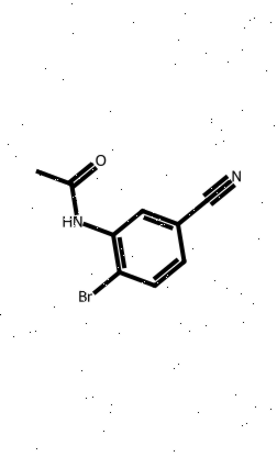 CC(=O)Nc1cc(C#N)ccc1Br